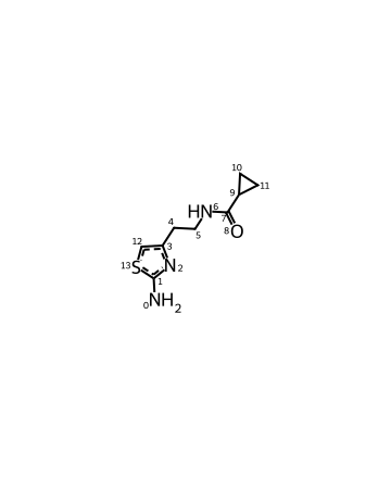 Nc1nc(CCNC(=O)C2CC2)cs1